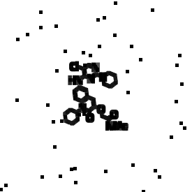 CNC(=O)COc1cc2cc(Nc3nc(N4CCCCC4)ncc3Cl)ccc2n(C2CCCCC2)c1=O